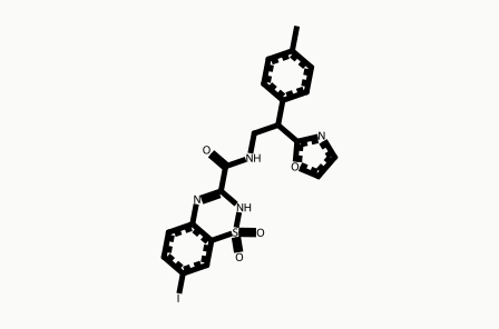 Cc1ccc(C(CNC(=O)C2=Nc3ccc(I)cc3S(=O)(=O)N2)c2ncco2)cc1